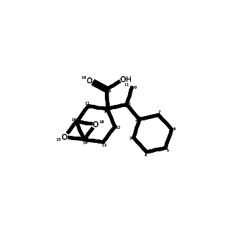 CC(C1CCCCC1)C1(C(=O)O)CCC23OC2(C1)O3